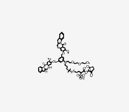 COCCOCCOCCN(CCCC(C)(C)SSCCC(C(=O)ON1C(=O)CCC1=O)S(=O)(=O)O)c1cc(COc2cc3c(cc2OC)C(=O)N2c4ccccc4CC2C=N3)cc(COc2cc3c(cc2OC)C(=O)N2c4ccccc4C[C@H]2CN3)c1